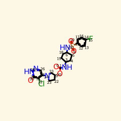 O=C(NC1CCC(NS(=O)(=O)c2ccc(F)cc2)CC1)O[C@@H]1CCN(c2cn[nH]c(=O)c2Cl)C1